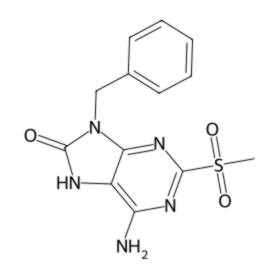 CS(=O)(=O)c1nc(N)c2[nH]c(=O)n(Cc3ccccc3)c2n1